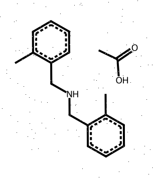 CC(=O)O.Cc1ccccc1CNCc1ccccc1C